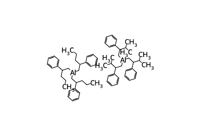 CC(C)C([CH2][Al]([CH2]C(c1ccccc1)C(C)C)[CH2]C(c1ccccc1)C(C)C)c1ccccc1.CCCC([CH2][Al]([CH2]C(CCC)c1ccccc1)[CH2]C(CCC)c1ccccc1)c1ccccc1